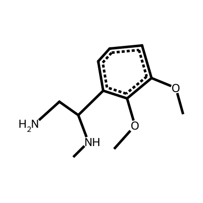 CNC(CN)c1cccc(OC)c1OC